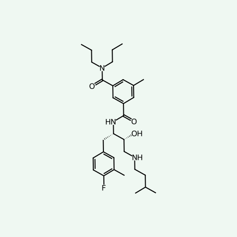 CCCN(CCC)C(=O)c1cc(C)cc(C(=O)N[C@@H](Cc2ccc(F)c(C)c2)[C@H](O)CNCCC(C)C)c1